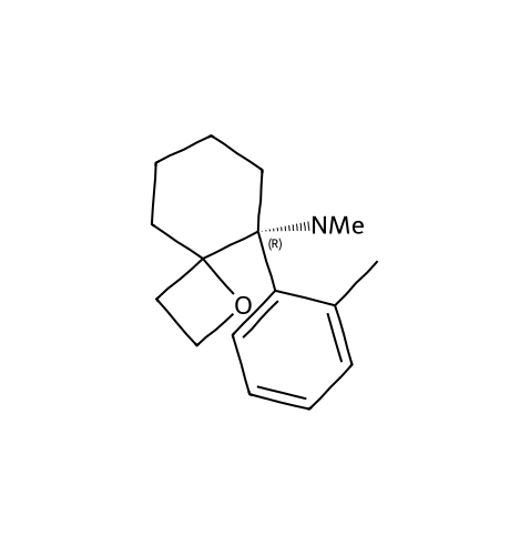 CN[C@@]1(c2ccccc2C)CCCCC12CCO2